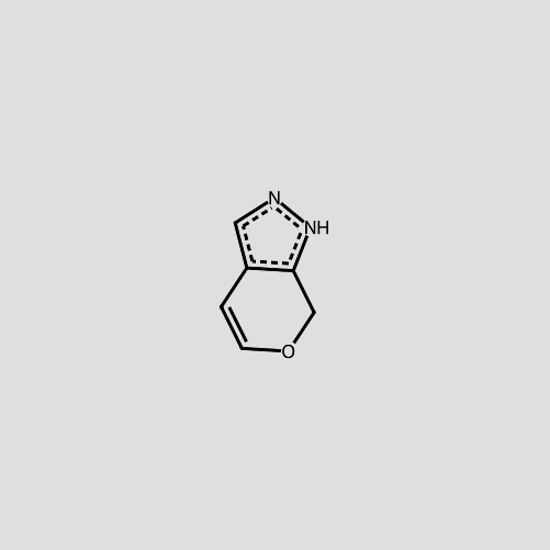 C1=Cc2cn[nH]c2CO1